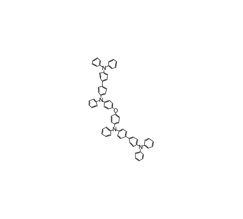 c1ccc(N(c2ccccc2)c2ccc(-c3ccc(N(c4ccccc4)c4ccc(Oc5ccc(N(c6ccccc6)c6ccc(-c7ccc(N(c8ccccc8)c8ccccc8)cc7)cc6)cc5)cc4)cc3)cc2)cc1